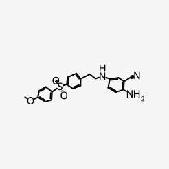 COc1ccc(S(=O)(=O)c2ccc(CCNc3ccc(N)c(C#N)c3)cc2)cc1